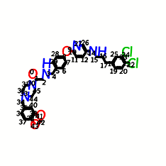 O=C(CNCc1ccc(Oc2ccc(NCCCc3ccc(Cl)c(Cl)c3)cn2)cc1)N1CCN(Cc2ccc3c(c2)OCO3)CC1